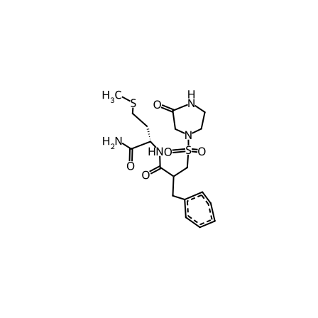 CSCC[C@H](NC(=O)C(Cc1ccccc1)CS(=O)(=O)N1CCNC(=O)C1)C(N)=O